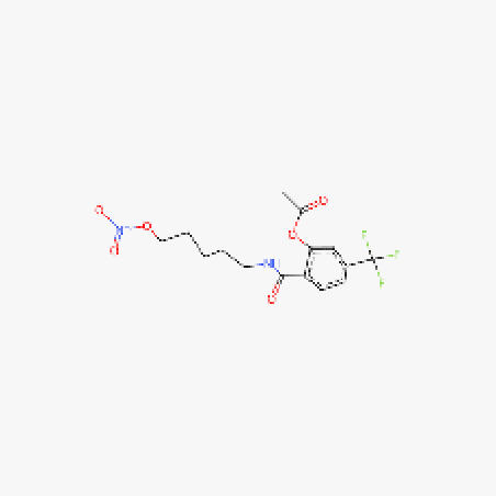 CC(=O)Oc1cc(C(F)(F)F)ccc1C(=O)NCCCCCO[N+](=O)[O-]